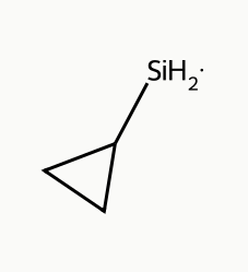 [SiH2]C1CC1